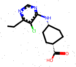 CCc1ncnc(N[C@H]2CC[C@@H](C(=O)O)CC2)c1Cl